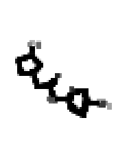 Nc1ccc(NC(=O)CN2CC[C@H](O)C2)nc1